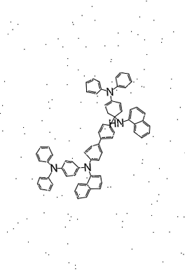 C1=CC(Nc2cccc3ccccc23)(c2ccc(-c3ccc(N(c4ccc(N(c5ccccc5)c5ccccc5)cc4)c4cccc5ccccc45)cc3)cc2)CC=C1N(c1ccccc1)c1ccccc1